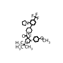 COc1ccc([C@@H]2CN(C(C)(C)C)C[C@@]2(F)C(=O)N2CCC(c3ccc(C(F)(F)F)cc3N3CCCC3)CC2)cc1